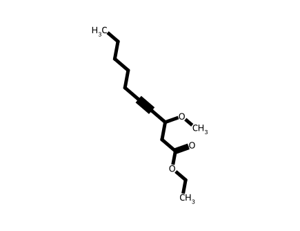 CCCCCC#CC(CC(=O)OCC)OC